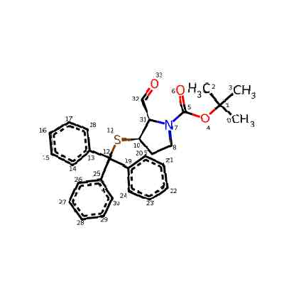 CC(C)(C)OC(=O)N1CC[C@@H](SC(c2ccccc2)(c2ccccc2)c2ccccc2)[C@H]1C=O